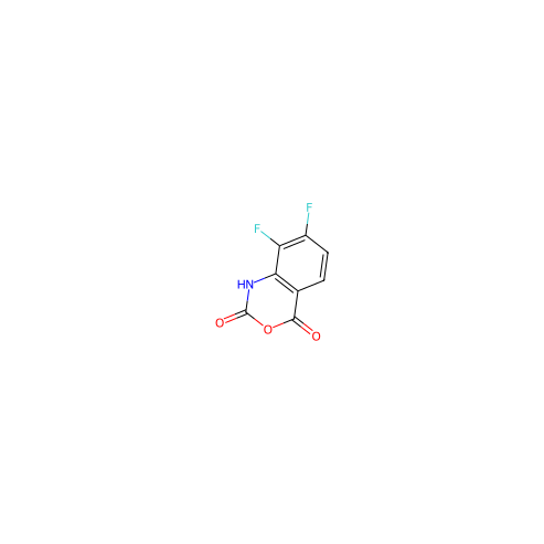 O=c1[nH]c2c(F)c(F)ccc2c(=O)o1